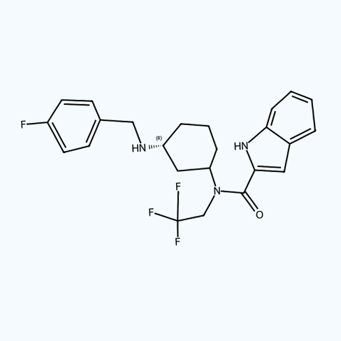 O=C(c1cc2ccccc2[nH]1)N(CC(F)(F)F)C1CCC[C@@H](NCc2ccc(F)cc2)C1